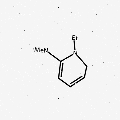 CCN1CC=CC=C1[N+]C